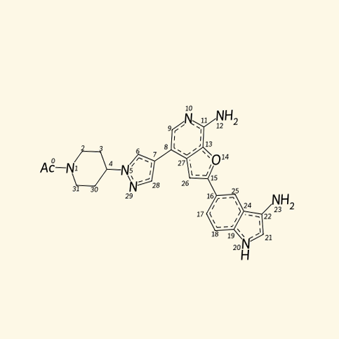 CC(=O)N1CCC(n2cc(-c3cnc(N)c4oc(-c5ccc6[nH]cc(N)c6c5)cc34)cn2)CC1